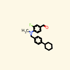 CN(Cc1ccc(C2CCCCC2)cc1)c1ccc(C=O)cc1F